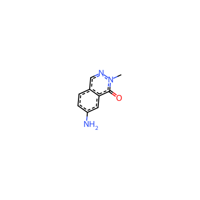 Cn1ncc2ccc(N)cc2c1=O